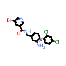 N[C@H]1CC(CNC(=O)c2cncc(Br)c2)=CC[C@@H]1c1ccc(Cl)cc1Cl